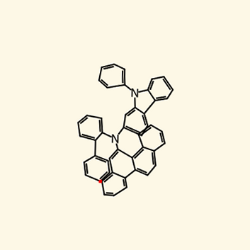 c1ccc(-c2ccccc2N(c2ccc3c4ccccc4n(-c4ccccc4)c3c2)c2cc3ccccc3c3ccc4ccccc4c23)cc1